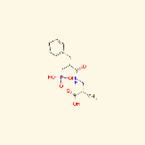 CC(CNC(=O)C(Cc1ccccc1)CP(=O)(O)O)C(=O)O